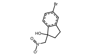 O=[N+]([O-])CC1(O)CCc2cc(Br)ccc21